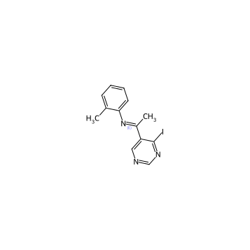 C/C(=N\c1ccccc1C)c1cncnc1I